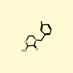 Cc1cccc(CN2CCOC(O)C2=O)c1